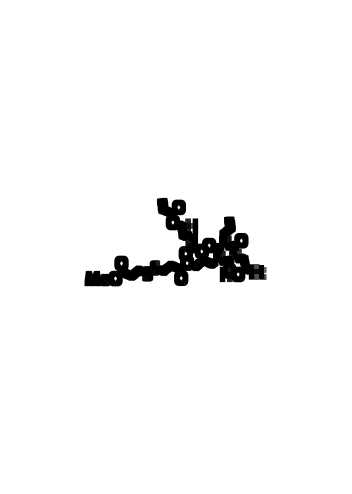 C=CCn1c(=O)n(CC(O)CC)c(=O)n(CC(COC(=O)CCSSCCC(=O)OC)OC(=O)NCCOC(=O)C=C)c1=O